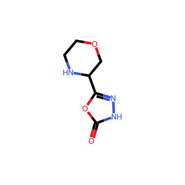 O=c1[nH]nc(C2COCCN2)o1